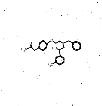 NC(=O)Cc1ccc(OCCN(Cc2ccccc2)C[C@H](O)c2cccc(C(F)(F)F)c2)cc1